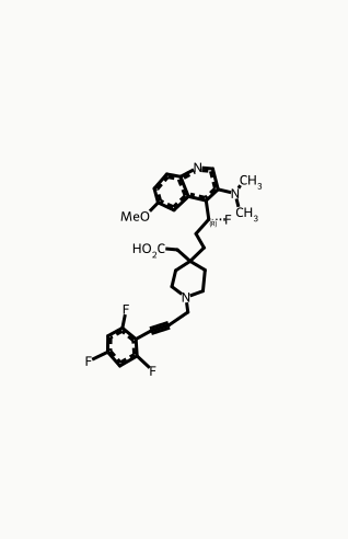 COc1ccc2ncc(N(C)C)c([C@H](F)CCC3(CC(=O)O)CCN(CC#Cc4c(F)cc(F)cc4F)CC3)c2c1